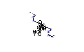 CC/C=C\C/C=C\C/C=C\C/C=C\CCCCC(=O)O[C@H](COC(=O)CCCC/C=C\C/C=C\C/C=C\CCCCC)COP(=O)(O)OC[C@@H](O)CO